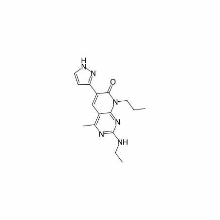 CCCn1c(=O)c(-c2cc[nH]n2)cc2c(C)nc(NCC)nc21